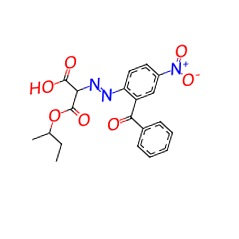 CCC(C)OC(=O)C(N=Nc1ccc([N+](=O)[O-])cc1C(=O)c1ccccc1)C(=O)O